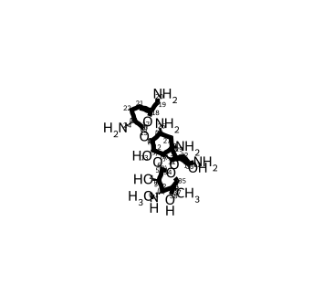 CN[C@@H]1[C@@H](O)[C@@H](O[C@]2(CCCN)[C@@H](O)[C@H](O[C@H]3OC(CN)=CC[C@H]3N)[C@@H](N)C[C@]2(N)C(=O)CO)OC[C@]1(C)O